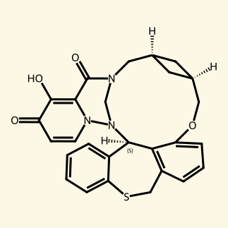 O=C1c2c(O)c(=O)ccn2N2CN1C[C@H]1C[C@@H](COc3cccc4c3[C@H]2c2ccccc2SC4)C1